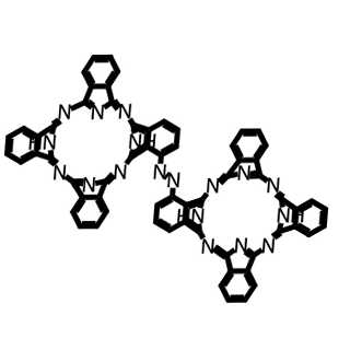 c1ccc2c(c1)-c1nc-2nc2[nH]c(nc3nc(nc4[nH]c(n1)c1ccccc41)-c1ccccc1-3)c1c(N=Nc3cccc4c5nc6nc(nc7[nH]c(nc8nc(nc([nH]5)c34)-c3ccccc3-8)c3ccccc73)-c3ccccc3-6)cccc21